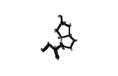 C=CC(=O)N1CCC2CN(C)CC21